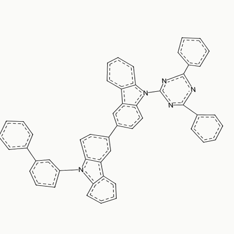 c1ccc(-c2cccc(-n3c4ccccc4c4cc(-c5ccc6c(c5)c5ccccc5n6-c5nc(-c6ccccc6)nc(-c6ccccc6)n5)ccc43)c2)cc1